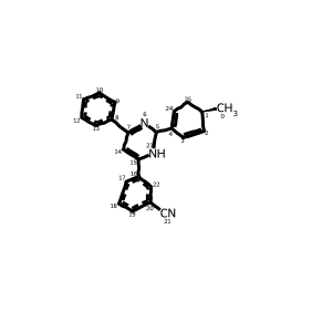 C[C@H]1C=CC(C2N=C(c3ccccc3)C=C(c3cccc(C#N)c3)N2)=CC1